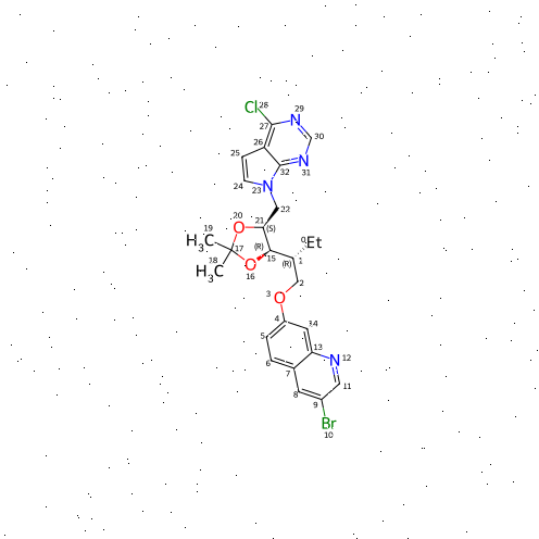 CC[C@H](COc1ccc2cc(Br)cnc2c1)[C@H]1OC(C)(C)O[C@H]1Cn1ccc2c(Cl)ncnc21